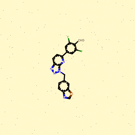 O=[C]c1c(F)cc(-c2ccc3nnn(Cc4ccc5ncsc5c4)c3n2)cc1F